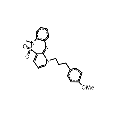 COc1ccc(CCCN2C=CC=C3C2=Nc2ccccc2N(C)S3(=O)=O)cc1